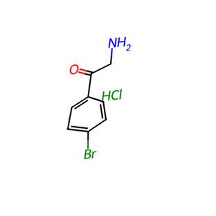 Cl.NCC(=O)c1ccc(Br)cc1